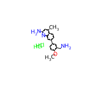 COc1ccc(-c2ccc3c(C)cc(N)nc3c2)cc1CN.Cl.Cl